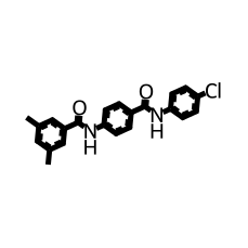 Cc1cc(C)cc(C(=O)Nc2ccc(C(=O)Nc3ccc(Cl)cc3)cc2)c1